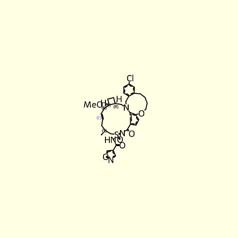 CO[C@H]1/C=C/C[C@H](C)CS(=O)(NC(=O)c2cnoc2)=NC(=O)c2ccc3c(c2)N(Cc2ccc(Cl)cc2CCCCO3)C[C@@H]2CC[C@H]21